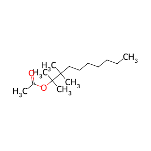 CCCCCCCC(C)(C)C(C)(C)OC(C)=O